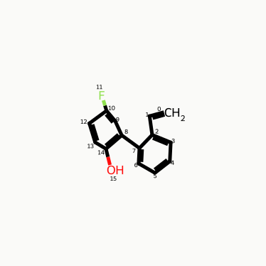 C=Cc1ccccc1-c1cc(F)ccc1O